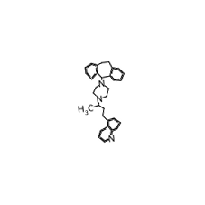 CC(CCc1cccc2ncccc12)N1CCN(C2c3ccccc3CCc3ccccc32)CC1